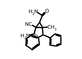 CC1(C(c2ccccc2)c2ccccc2)C(C(N)=O)C1(C#N)C(N)=O